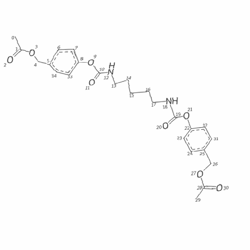 CC(=O)OCc1ccc(OC(=O)NCCCCCNC(=O)Oc2ccc(COC(C)=O)cc2)cc1